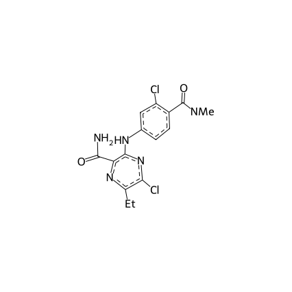 CCc1nc(C(N)=O)c(Nc2ccc(C(=O)NC)c(Cl)c2)nc1Cl